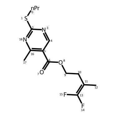 CCCSc1ncc(C(=O)OCCC(C)=C(F)F)c(C)n1